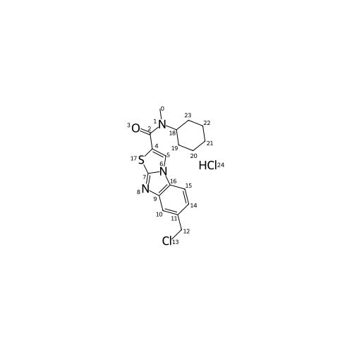 CN(C(=O)c1cn2c(nc3cc(CCl)ccc32)s1)C1CCCCC1.Cl